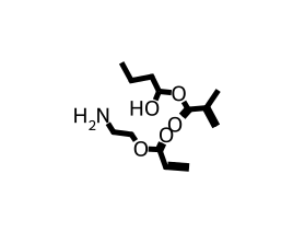 C=C(C)C(=O)OC(O)CCC.C=CC(=O)OCCN